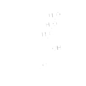 CCOC.CO.O.O.O